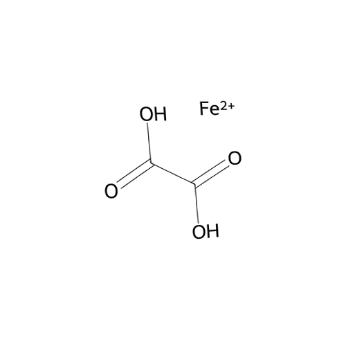 O=C(O)C(=O)O.[Fe+2]